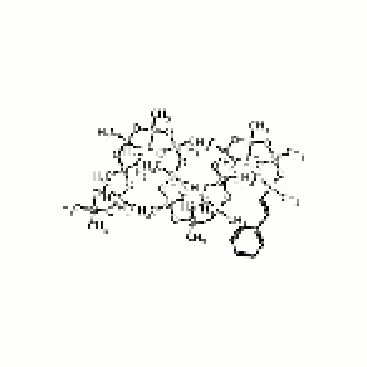 C[Si](C)(C)O[Si](C)(C)O[Si](C)(C)O[Si](C)(C)O[Si](C)(C)O[Si](C)(C)O[Si](C)(C)O[Si](C)(C)O[Si](C)(C)O[Si](C)(C)O[Si](C)(C)O[Si](C)(C)O[Si](C)(C)O[Si](C)(C)O[Si](C)(C)C=Cc1ccccc1